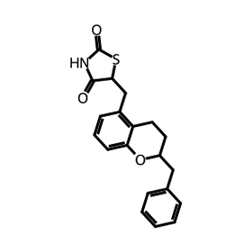 O=C1NC(=O)C(Cc2cccc3c2CCC(Cc2ccccc2)O3)S1